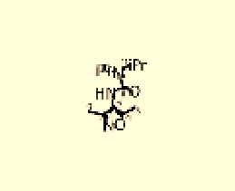 Cc1noc(C)c1NC(=O)N(C(C)C)C(C)C